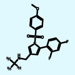 [2H]C([2H])([2H])NCc1cc(-c2ccc(F)cc2F)n(S(=O)(=O)c2ccc(OC)cc2)c1